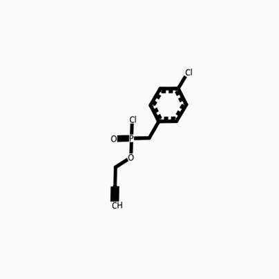 C#CCOP(=O)(Cl)Cc1ccc(Cl)cc1